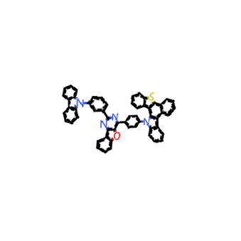 c1cc(-c2nc(-c3ccc(-n4c5ccccc5c5c6ccccc6c6sc7ccccc7c6c54)cc3)c3oc4ccccc4c3n2)cc(-n2c3ccccc3c3ccccc32)c1